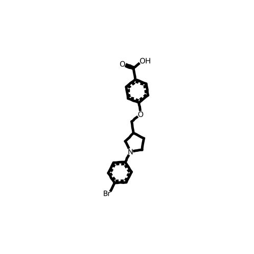 O=C(O)c1ccc(OCC2CCN(c3ccc(Br)cc3)C2)cc1